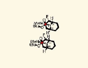 CN[C@@H]1C[C@H]2CCC[C@@H]([C@@H]1F)N2C(=O)OC(C)(C)C.CN[C@H]1C[C@@H]2CCC[C@H]([C@H]1F)N2C(=O)OC(C)(C)C